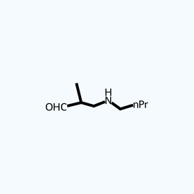 CCCCNC[C](C)C=O